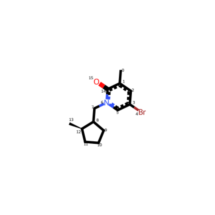 Cc1cc(Br)cn(CC2CCC[C@H]2C)c1=O